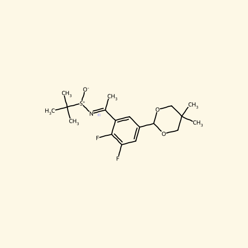 C/C(=N\[S+]([O-])C(C)(C)C)c1cc(C2OCC(C)(C)CO2)cc(F)c1F